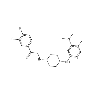 Cc1cnc(N[C@H]2CC[C@@H](NCC(=O)c3ccc(F)c(F)c3)CC2)nc1N(C)C